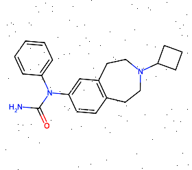 NC(=O)N(c1ccccc1)c1ccc2c(c1)CCN(C1CCC1)CC2